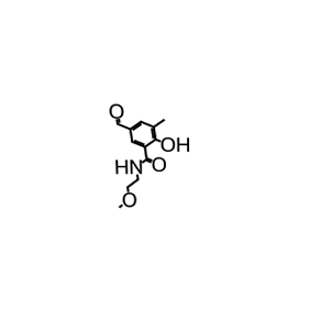 COCCNC(=O)c1cc(C=O)cc(C)c1O